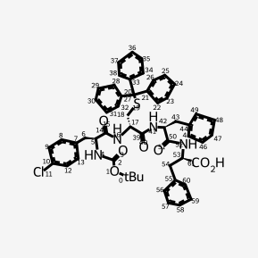 CC(C)(C)OC(=O)N[C@@H](Cc1ccc(Cl)cc1)C(=O)N[C@H](CSC(c1ccccc1)(c1ccccc1)c1ccccc1)C(=O)N[C@@H](Cc1ccccc1)C(=O)N[C@H](Cc1ccccc1)C(=O)O